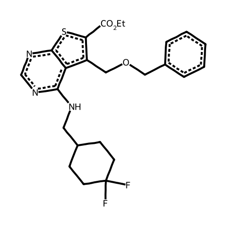 CCOC(=O)c1sc2ncnc(NCC3CCC(F)(F)CC3)c2c1COCc1ccccc1